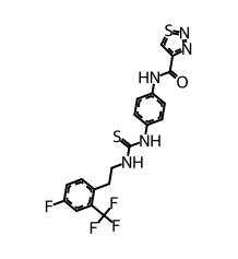 O=C(Nc1ccc(NC(=S)NCCc2ccc(F)cc2C(F)(F)F)cc1)c1csnn1